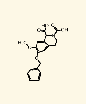 COc1cc2c(cc1OCc1ccccc1)CCN(C(=O)O)C2C(=O)O